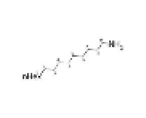 [CH2]CCCCCCCCCC[CH]CCCN